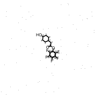 O=C(CC1CCC(O)CC1)Oc1c(F)c(F)c(F)c(F)c1F